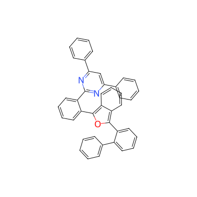 c1ccc(-c2cc(-c3ccccc3)nc(-c3ccccc3-c3oc(-c4ccccc4-c4ccccc4)c4ccccc34)n2)cc1